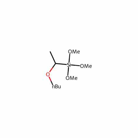 CCCCOC(C)[Si](OC)(OC)OC